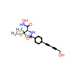 CSC(C)(C)[C@H](NC(=O)c1ccc(C#CC#CCO)cc1)C(=O)NO